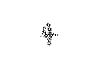 C#C\C=C(/C=C(C)/C=C/CC(C=C)c1ccccc1)C1N=C(c2ccc(-c3ccccc3)cc2)NC(C(/C=C\C)=C2\C=C(CCC=C)OC2)N1